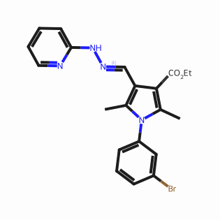 CCOC(=O)c1c(/C=N/Nc2ccccn2)c(C)n(-c2cccc(Br)c2)c1C